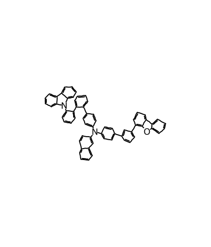 c1cc(-c2ccc(N(c3ccc(-c4ccccc4-c4ccccc4-n4c5ccccc5c5ccccc54)cc3)c3ccc4ccccc4c3)cc2)cc(-c2cccc3c2oc2ccccc23)c1